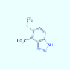 O=C(O)c1c(SC(F)(F)F)ccc2[nH]nnc12